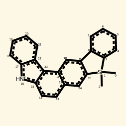 C[Si]1(C)c2ccccc2-c2cc3c(ccc4[nH]c5ccccc5c43)cc21